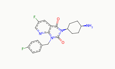 N[C@H]1CC[C@@H](n2c(=O)c3cc(F)cnc3n(Cc3ccc(F)cc3)c2=O)CC1